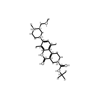 COC[C@H]1CN(c2cc(C)c3c4c(c(=O)oc3c2C)CN(C(=O)OC(C)(C)C)CC4)CCN1C